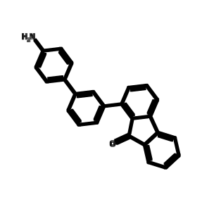 Nc1ccc(-c2cccc(-c3cccc4c3C(=O)c3ccccc3-4)c2)cc1